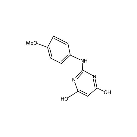 COc1ccc(Nc2nc(O)cc(O)n2)cc1